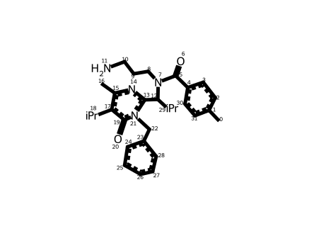 Cc1ccc(C(=O)N(CCCN)C(c2nc(C)c(C(C)C)c(=O)n2Cc2ccccc2)C(C)C)cc1